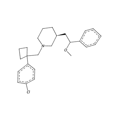 COC(C[C@@H]1CCCN(CC2(c3ccc(Cl)cc3)CCC2)C1)c1ccccc1